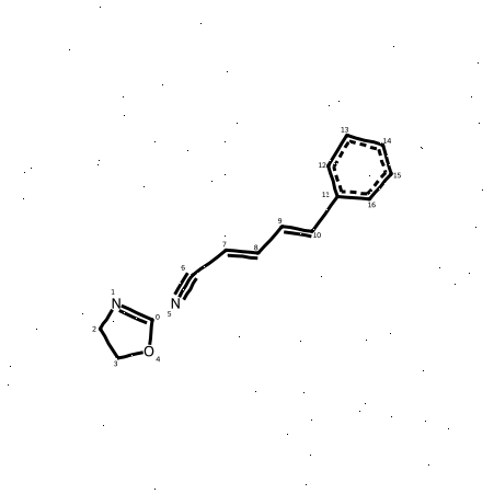 C1=NCCO1.N#CC=CC=Cc1ccccc1